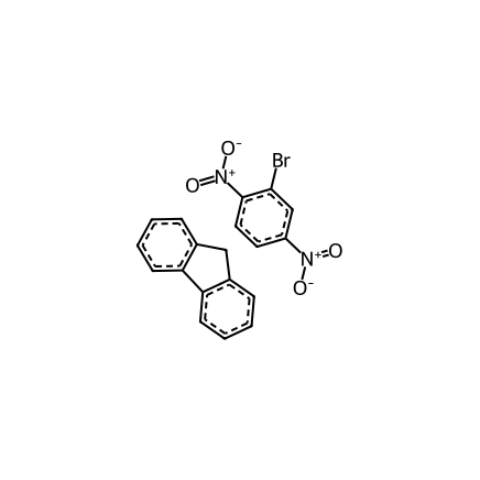 O=[N+]([O-])c1ccc([N+](=O)[O-])c(Br)c1.c1ccc2c(c1)Cc1ccccc1-2